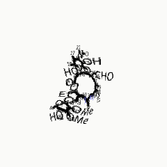 CC[C@H]1OC(=O)C[C@@H](O)[C@H](C)[C@@H](OC2OC(C)C(C)C(N(C)C)C2O)[C@@H](CC=O)C[C@@H](C)C(=NC)/C=C/C(C)=C/C1COC1OC(C)C(O)C(OC)C1OC